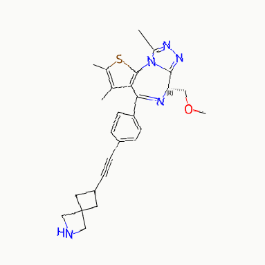 COC[C@@H]1N=C(c2ccc(C#CC3CC4(CNC4)C3)cc2)c2c(sc(C)c2C)-n2c(C)nnc21